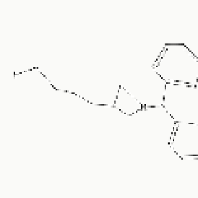 ICCCCC1CN(C(c2ccccc2)c2ccccc2)C1